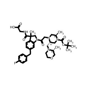 C[C@@H]1COCCN1C[C@H]1CN(C(=O)OC(C)(C)C)[C@H](C)CN1CC(=O)N1CC(C)(C(=O)NCC(=O)O)c2ccc(Cc3ccc(F)cc3)cc21